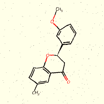 [CH2]c1ccc2c(c1)C(=O)C[C@H](c1cccc(OC)c1)O2